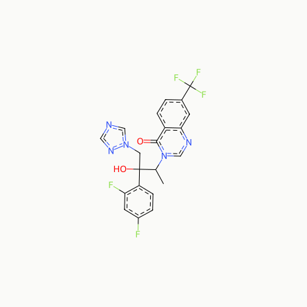 CC(n1cnc2cc(C(F)(F)F)ccc2c1=O)C(O)(Cn1cncn1)c1ccc(F)cc1F